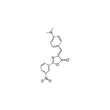 CN(C)c1ccc(/C=C2\N=C(c3cccc([N+](=O)[O-])c3)OC2=O)cc1